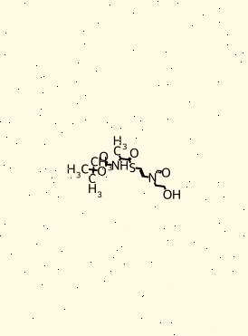 CC(NC(=O)OC(C)(C)C)C(=O)S/C=C/N(C=O)CCO